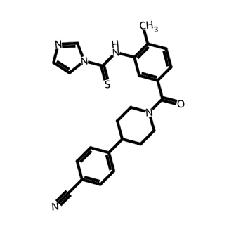 Cc1ccc(C(=O)N2CCC(c3ccc(C#N)cc3)CC2)cc1NC(=S)n1ccnc1